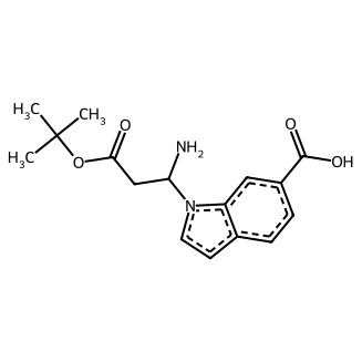 CC(C)(C)OC(=O)CC(N)n1ccc2ccc(C(=O)O)cc21